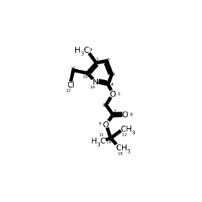 Cc1ccc(OCC(=O)OC(C)(C)C)nc1CCl